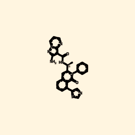 C[C@H](NC(=O)c1c(N)nn2cccnc12)c1cc2cccc(-c3cncs3)c2c(=O)n1-c1ccccc1